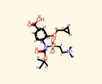 CN(C)CCS(=O)(=O)N(C(=O)OC(C)(C)C)c1ccc(C(=O)O)cc1OCC1CC1